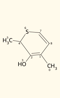 CC1=C(O)C(C)SC=C1